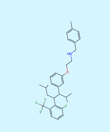 Cc1ccc(CNCCOc2cccc(C([C](CC(C)C)c3c(F)cccc3C(F)(F)F)C(C)C)c2)cc1